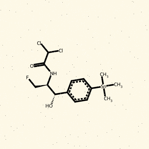 [CH3][Sn]([CH3])([CH3])[c]1ccc([C@H](O)[C@@H](CF)NC(=O)C(Cl)Cl)cc1